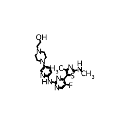 CNc1nc(C)c(-c2nc(Nc3ccc(N4CCN(CCO)CC4)cn3)ncc2F)s1